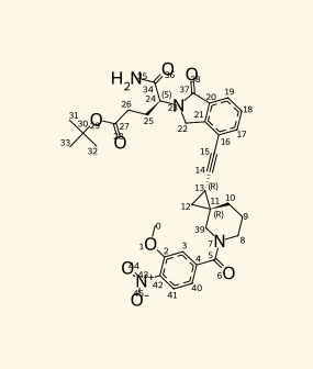 COc1cc(C(=O)N2CCC[C@]3(C[C@@H]3C#Cc3cccc4c3CN([C@@H](CCC(=O)OC(C)(C)C)C(N)=O)C4=O)C2)ccc1[N+](=O)[O-]